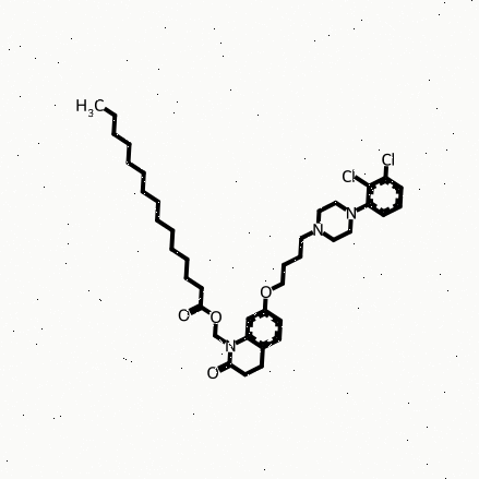 CCCCCCCCCCCCCCC(=O)OCN1C(=O)CCc2ccc(OCCCCN3CCN(c4cccc(Cl)c4Cl)CC3)cc21